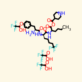 CCCCC(NC(=O)[C@@H](CCCCC(F)(F)F)NC(=O)[C@H](N)Cc1ccccc1)C(=O)OC(=O)C1CCNCC1.O=C(O)C(F)(F)F.O=C(O)C(F)(F)F.O=C(O)C(F)(F)F